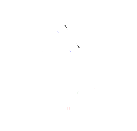 CC1(C)CN(c2ccc(OC(F)(F)CO)cc2F)[C@H]2CCCC[C@H]2N1